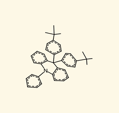 CC(C)(C)c1ccc(C2(c3ccc(C(C)(C)C)cc3)c3ccccc3N(c3ccccc3)c3ccccc32)cc1